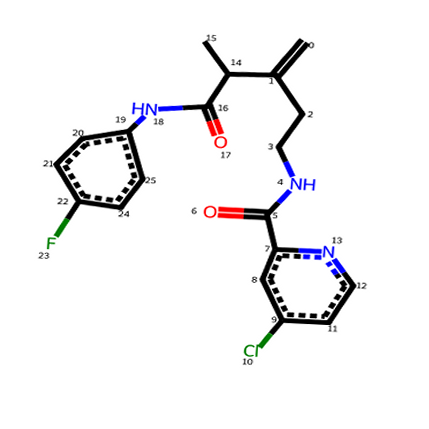 C=C(CCNC(=O)c1cc(Cl)ccn1)C(C)C(=O)Nc1ccc(F)cc1